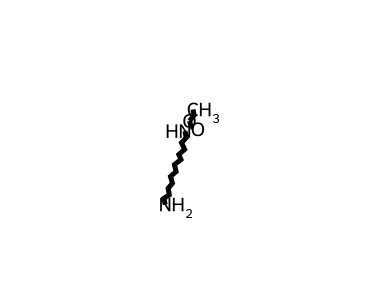 CCOC(=O)NCCCCCCCCCCCCN